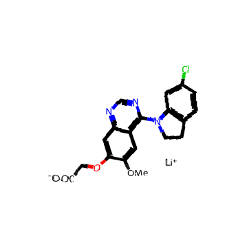 COc1cc2c(N3CCc4ccc(Cl)cc43)ncnc2cc1OCC(=O)[O-].[Li+]